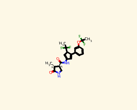 C[C@H]1C(=O)NC[C@@H]1C(=O)NC1=CC(C(C)(F)F)C(c2cccc(OC(C)(F)F)c2)=C1